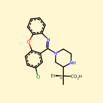 CC[C@](C)(C(=O)O)C1CN(C2=Nc3ccccc3Oc3ccc(Cl)cc32)CCN1